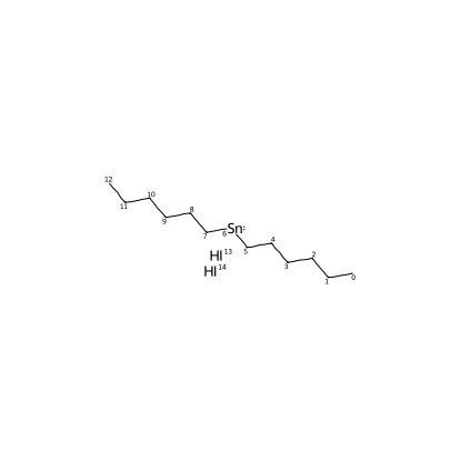 CCCCC[CH2][Sn][CH2]CCCCC.I.I